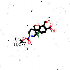 CC(C)(C)OC(=O)N1CCC2(COc3c2ccc(C(=O)O)c3C=O)C(F)(F)C1